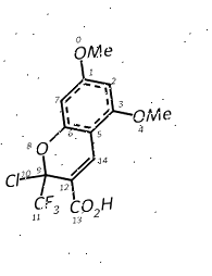 COc1cc(OC)c2c(c1)OC(Cl)(C(F)(F)F)C(C(=O)O)=C2